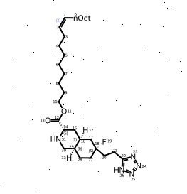 CCCCCCCC/C=C\CCCCCCCCOC(=O)[C@@H]1C[C@H]2C[C@@](F)(CCc3nnn[nH]3)CC[C@H]2CN1